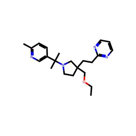 CCOCC1(CCc2ncccn2)CCN(C(C)(C)c2ccc(C)nc2)C1